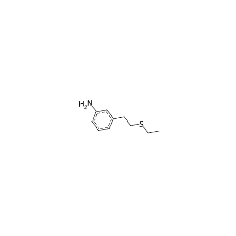 CCSCCc1cccc(N)c1